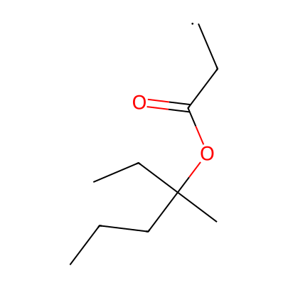 [CH2]CC(=O)OC(C)(CC)CCC